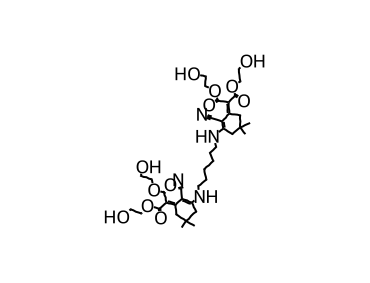 CC1(C)CC(NCCCCCCNC2=C(C#N)C(=C(C(=O)OCCO)C(=O)OCCO)CC(C)(C)C2)=C(C#N)C(=C(C(=O)OCCO)C(=O)OCCO)C1